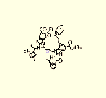 CCOC(=O)c1cc2c3c(c1)nc(NC(=O)c1cc(C)nn1CC)n3C/C=C/Cn1c(NC(=O)c3cc(C)nn3CC)nc3cc(C(=O)OC(C)(C)C)cc(c31)OCC(N1C3CCC1COC3)CO2